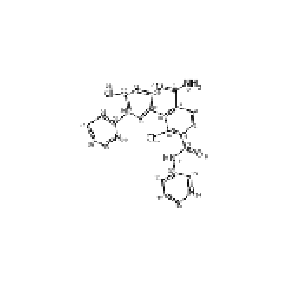 NC(=O)c1ccc(C(=O)Nc2cccnc2)c(Cl)c1-c1ccc(Cl)c(-c2ccccn2)c1